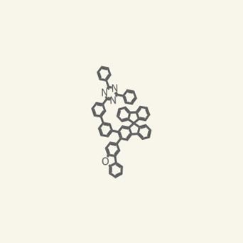 c1ccc(-c2nc(-c3ccccc3)nc(-c3cccc(-c4cccc(-c5cc6c(cc5-c5ccc7oc8ccccc8c7c5)-c5ccccc5C65c6ccccc6-c6ccccc65)c4)c3)n2)cc1